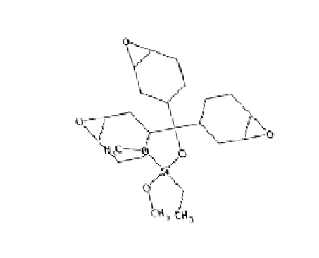 CC[Si](OC)(OC)OC(C1CCC2OC2C1)(C1CCC2OC2C1)C1CCC2OC2C1